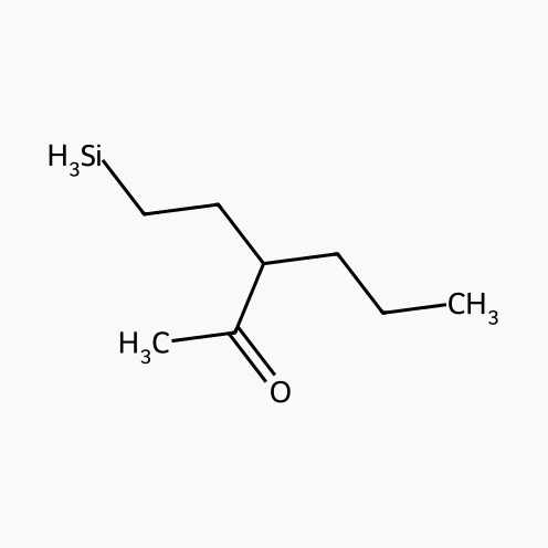 CCCC(CC[SiH3])C(C)=O